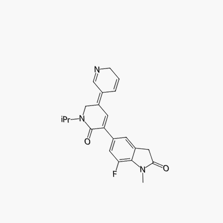 CC(C)N1CC(=C2C=CCN=C2)C=C(c2cc(F)c3c(c2)CC(=O)N3C)C1=O